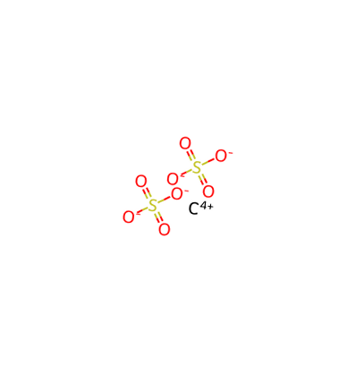 O=S(=O)([O-])[O-].O=S(=O)([O-])[O-].[C+4]